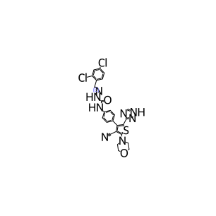 N#Cc1c(N2CCOCC2)sc(-c2nc[nH]n2)c1-c1ccc(NC(=O)N/N=C/c2ccc(Cl)cc2Cl)cc1